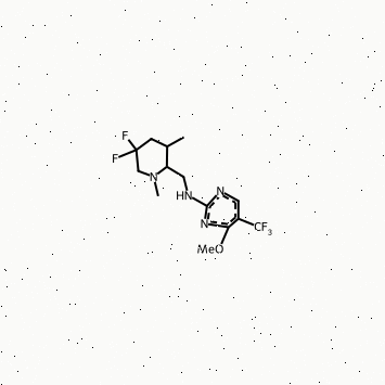 COc1nc(NCC2C(C)CC(F)(F)CN2C)ncc1C(F)(F)F